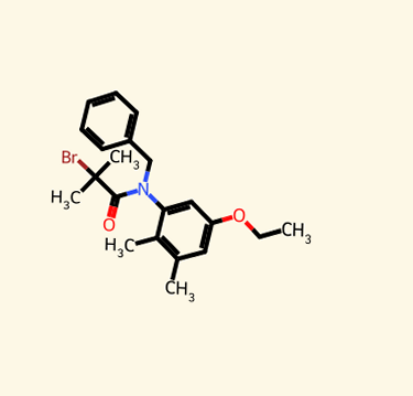 CCOc1cc(C)c(C)c(N(Cc2ccccc2)C(=O)C(C)(C)Br)c1